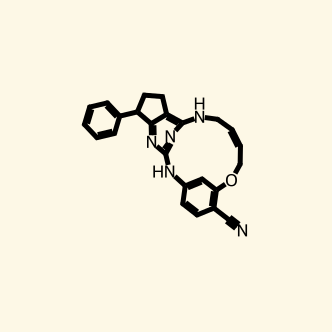 N#Cc1ccc2cc1OC/C=C\CNc1nc(nc3c1CCC3c1ccccc1)N2